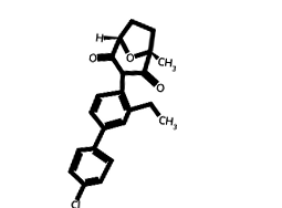 CCc1cc(-c2ccc(Cl)cc2)ccc1C1C(=O)[C@@H]2CC[C@@](C)(O2)C1=O